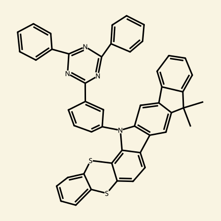 CC1(C)c2ccccc2-c2cc3c(cc21)c1ccc2c(c1n3-c1cccc(-c3nc(-c4ccccc4)nc(-c4ccccc4)n3)c1)Sc1ccccc1S2